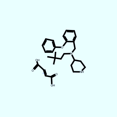 CC(C)(C)CCN(Cc1ccccc1Oc1ccccc1)C1CCNCC1.O=C(O)/C=C/C(=O)O